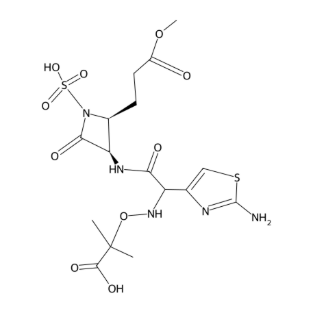 COC(=O)CC[C@H]1[C@@H](NC(=O)C(NOC(C)(C)C(=O)O)c2csc(N)n2)C(=O)N1S(=O)(=O)O